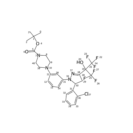 CC(C)(C)OC(=O)N1CCN(c2cccc(N3N=C(C(O)(C(F)(F)F)C(F)(F)F)CC3c3ccccc3Cl)c2)CC1